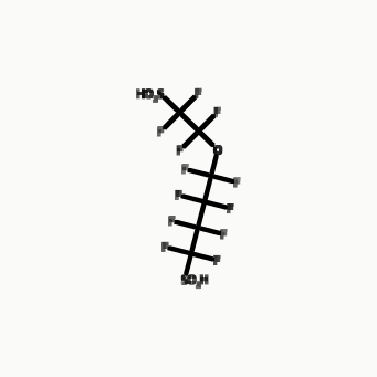 O=S(=O)(O)C(F)(F)C(F)(F)OC(F)(F)C(F)(F)C(F)(F)C(F)(F)S(=O)(=O)O